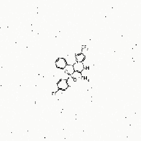 CC1=C(S(=O)(=O)c2ccc(Cl)cc2)C(c2ccccc2)n2nc(C(F)(F)F)cc2N1